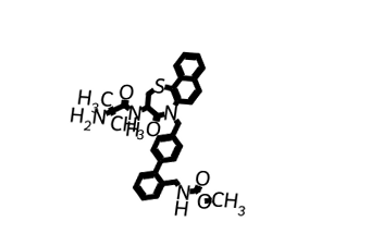 COC(=O)NCc1ccccc1-c1ccc(CN2C(=O)C(NC(=O)C(C)(C)N)CSc3c2ccc2ccccc32)cc1